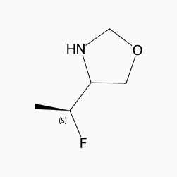 C[C@H](F)C1COCN1